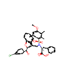 COc1cc(C)c(S(=O)(=O)N(Cc2c(C(=O)c3ccc(Cl)cc3)oc3ccccc23)[C@@H](Cc2ccccc2)C(=O)O)c(C)c1C